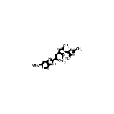 COc1cc2nc(C(C#N)=Cc3cc(C)n(-c4sc(C)nc4C#N)c3C)[nH]c2cn1